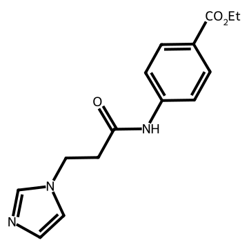 CCOC(=O)c1ccc(NC(=O)CCn2ccnc2)cc1